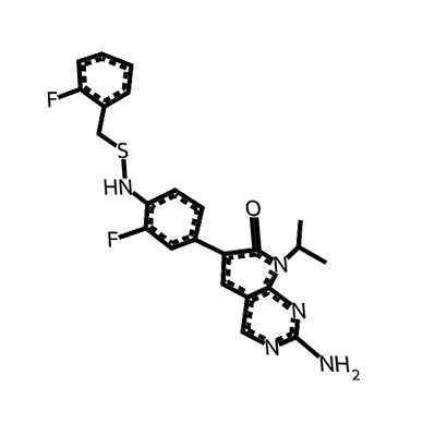 CC(C)n1c(=O)c(-c2ccc(NSCc3ccccc3F)c(F)c2)cc2cnc(N)nc21